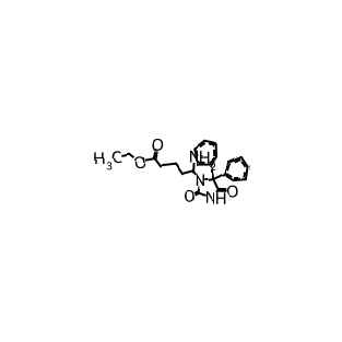 CCOC(=O)CCCC(N)N1C(=O)NC(=O)C1(c1ccccc1)c1ccccc1